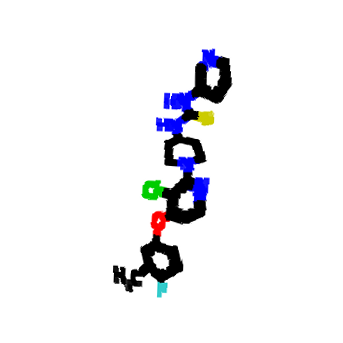 Cc1cc(Oc2ccnc(N3CCC(NC(=S)Nc4cccnc4)CC3)c2Cl)ccc1F